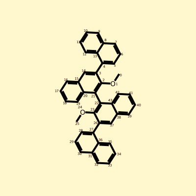 COc1c(-c2cccc3ccccc23)cc2ccccc2c1-c1c(OC)c(-c2cccc3ccccc23)cc2ccccc12